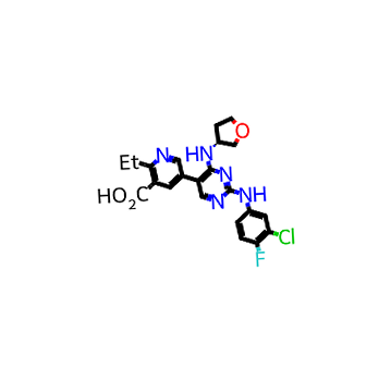 CCc1ncc(-c2cnc(Nc3ccc(F)c(Cl)c3)nc2N[C@@H]2CCOC2)cc1C(=O)O